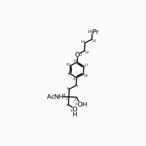 CC(=O)NC(CO)(CO)CCc1ccc(OCCCC(C)C)cc1